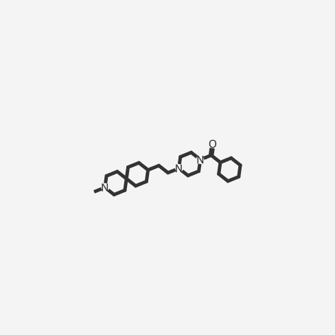 CN1CCC2(CCC(CCN3CCN(C(=O)C4CCCCC4)CC3)CC2)CC1